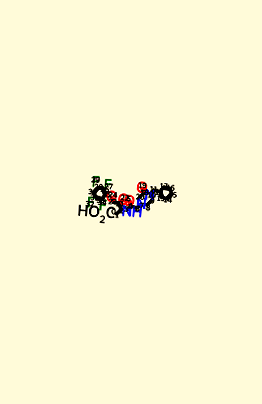 O=C(O)CC(NC(=O)CN1CCN(Cc2ccccc2)C(=O)C1)C(=O)COc1c(F)c(F)cc(F)c1F